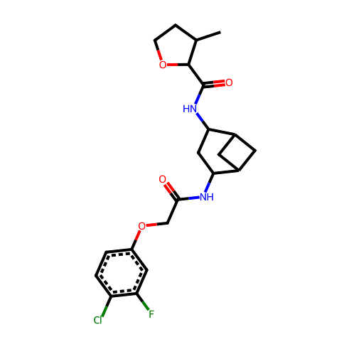 CC1CCOC1C(=O)NC1CC(NC(=O)COc2ccc(Cl)c(F)c2)C2CC1C2